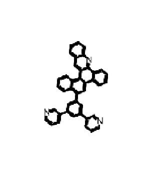 c1cncc(-c2cc(-c3cccnc3)cc(-c3cc4c5ccccc5c5nc6ccccc6cc5c4c4ccccc34)c2)c1